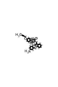 CC#CCOc1ccc(S(=O)(=O)N[C@@H](Cc2cn(Cc3cccc(C)c3)c3ccccc23)C(=O)O)cc1